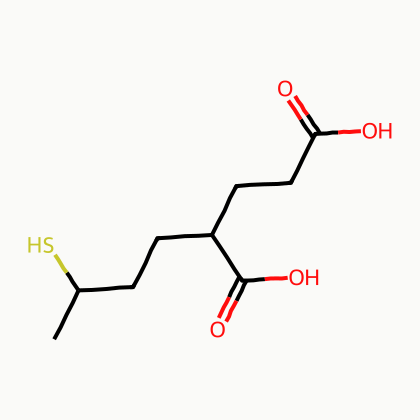 CC(S)CCC(CCC(=O)O)C(=O)O